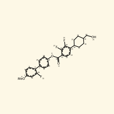 COc1ccc(-c2ccc(OC(=O)c3ccc(C4CCC(CO)CC4)c(F)c3F)cc2)c(F)c1